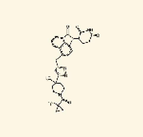 CC1(c2cn(Cc3ccc4c5c(cccc35)C(=O)N4C3CCC(=O)NC3=O)nn2)CCN(C(=O)C2(C(F)(F)F)CC2)CC1